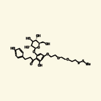 CC(C)(C)SSCCOCCOCCOc1cc(O)c(C(=O)CCc2ccc(O)cc2)c(O[C@@H]2O[C@H](CO)[C@@H](O)C(O)[C@H]2O)c1